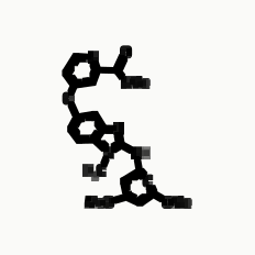 CNC(=O)c1cc(Oc2ccc3c(c2)nc(Nc2cc(OC)cc(OC)c2)n3C)ccn1